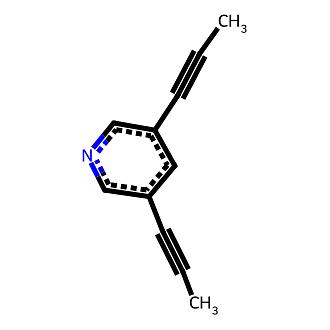 CC#Cc1cncc(C#CC)c1